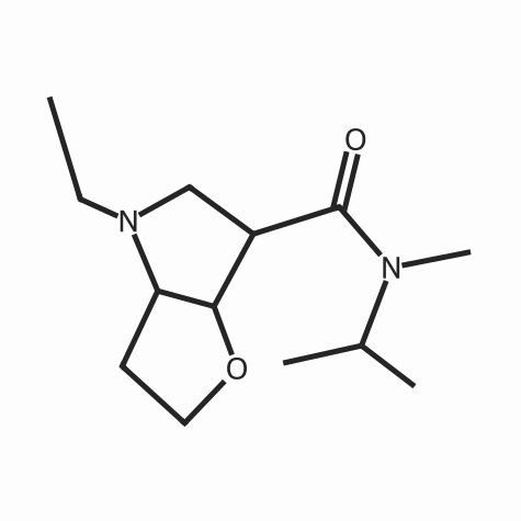 CCN1CC(C(=O)N(C)C(C)C)C2OCCC21